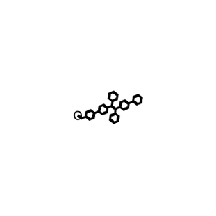 O=Cc1ccc(-c2ccc(/C(=C(\c3ccccc3)c3ccc(-c4ccccc4)cc3)c3ccccc3)cc2)cc1